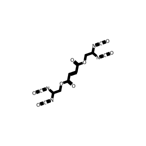 O=C=NC(COC(=O)/C=C/C(=O)OCC(N=C=O)N=C=O)N=C=O